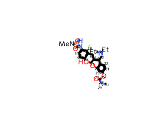 CCN(CC)CC1=C(Cc2cccc(NS(=O)(=O)NC)c2F)C(O)Oc2cc(OC(=O)N(C)C)ccc21